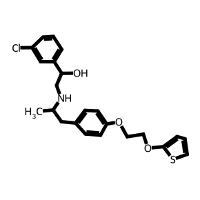 CC(Cc1ccc(OCCOc2cccs2)cc1)NCC(O)c1cccc(Cl)c1